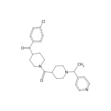 CC(c1ccncc1)N1CCC(C(=O)N2CCC(C(=O)c3ccc(Cl)cc3)CC2)CC1